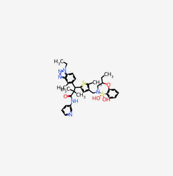 CCC1CN(Cc2cc(C(c3ccc4c(nnn4CC)c3C)C(C)(C)C(=O)Nc3cccnc3)sc2C)S(O)(O)c2ccccc2O1